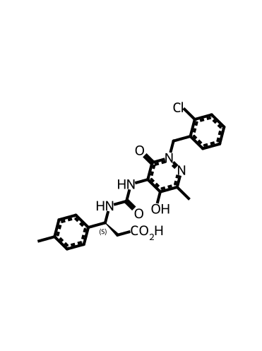 Cc1ccc([C@H](CC(=O)O)NC(=O)Nc2c(O)c(C)nn(Cc3ccccc3Cl)c2=O)cc1